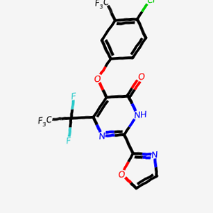 O=c1[nH]c(-c2ncco2)nc(C(F)(F)C(F)(F)F)c1Oc1ccc(Cl)c(C(F)(F)F)c1